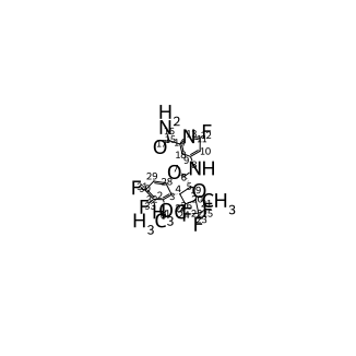 COc1c([C@@H]2[C@H](C(=O)Nc3cc(F)nc(C(N)=O)c3)O[C@@](C)(C(F)(F)F)[C@H]2C)ccc(F)c1F